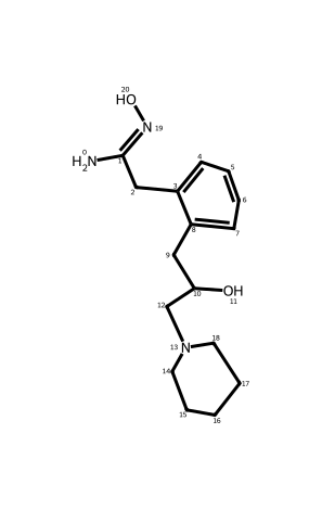 NC(Cc1ccccc1CC(O)CN1CCCCC1)=NO